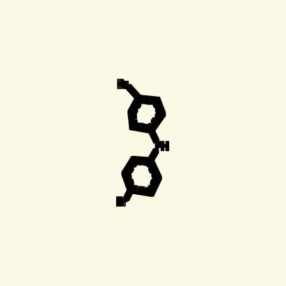 Brc1ccc(Pc2ccc(Br)cc2)cc1